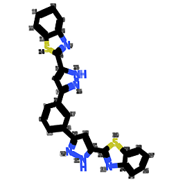 c1cc(-c2cc(-c3nc4ccccc4s3)[nH]n2)cc(-c2cc(-c3nc4ccccc4s3)[nH]n2)c1